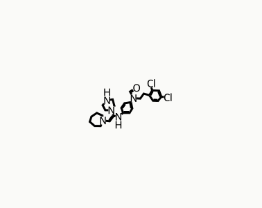 O=CN(CCc1ccc(Cl)cc1Cl)c1ccc(N/C(=C/N2CCCCCC2)N2CCNCC2)cc1